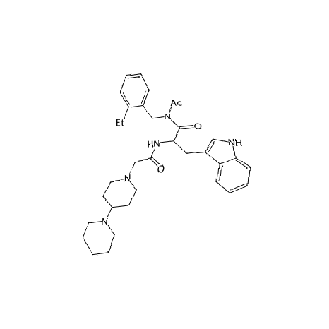 CCc1ccccc1CN(C(C)=O)C(=O)C(Cc1c[nH]c2ccccc12)NC(=O)CN1CCC(N2CCCCC2)CC1